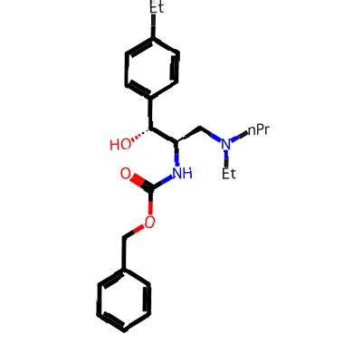 CCCN(CC)C[C@@H](NC(=O)OCc1ccccc1)[C@H](O)c1ccc(CC)cc1